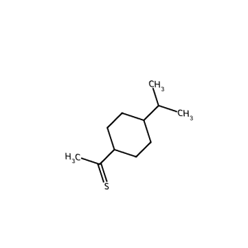 CC(=S)C1CCC(C(C)C)CC1